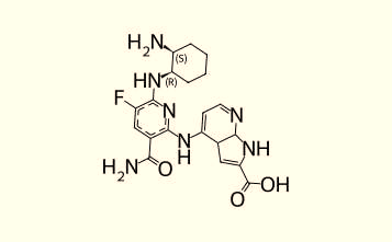 NC(=O)c1cc(F)c(N[C@@H]2CCCC[C@@H]2N)nc1NC1=CC=NC2NC(C(=O)O)=CC12